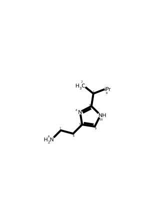 CC(C)C(C)c1nc(CCN)c[nH]1